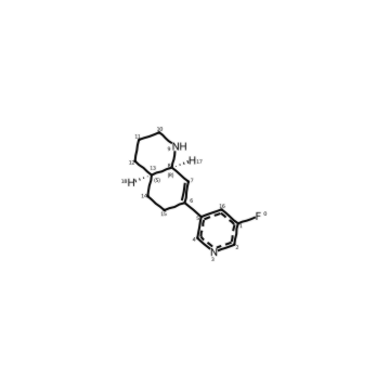 Fc1cncc(C2=C[C@@H]3NCCC[C@@H]3CC2)c1